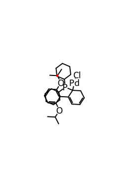 CC(C)Oc1cccc(OC(C)C)c1C1=CC=CC[C]1([Pd][Cl])P(C1CCCCC1)C1CCCCC1